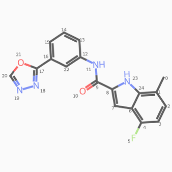 Cc1ccc(F)c2cc(C(=O)Nc3cccc(-c4nnco4)c3)[nH]c12